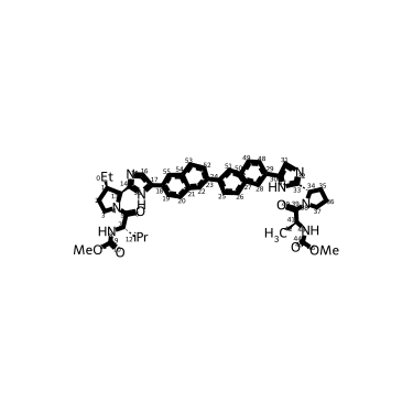 CC[C@@H]1CCN(C(=O)[C@@H](NC(=O)OC)C(C)C)[C@@H]1c1ncc(-c2ccc3cc(-c4ccc5cc(-c6cnc([C@@H]7CCCN7C(=O)[C@H](C)NC(=O)OC)[nH]6)ccc5c4)ccc3c2)[nH]1